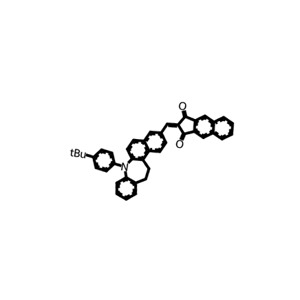 CC(C)(C)c1ccc(N2c3ccccc3CCc3c2ccc2cc(C=C4C(=O)c5cc6ccccc6cc5C4=O)ccc32)cc1